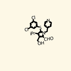 CC(C)c1c(CO)c(C=O)n(Cc2ccncc2)c1Sc1cc(Cl)cc(Cl)c1